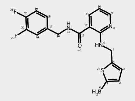 Bc1ccc(CNc2ncccc2C(=O)NCc2ccc(F)c(F)c2)s1